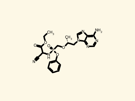 CCOC(=O)C(C#N)NP(=O)(CO[C@H](C)Cn1cnc2c(N)ncnc21)Oc1ccccc1